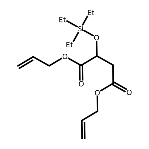 C=CCOC(=O)CC(O[Si](CC)(CC)CC)C(=O)OCC=C